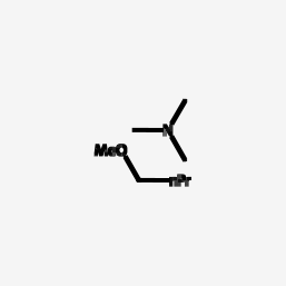 CCCCOC.CN(C)C